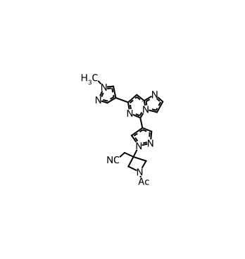 CC(=O)N1CC(CC#N)(n2cc(-c3nc(-c4cnn(C)c4)cc4nccn34)cn2)C1